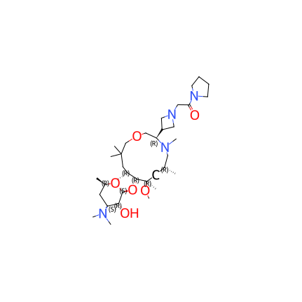 CO[C@]1(C)C[C@@H](C)CN(C)[C@H](C2CN(CC(=O)N3CCCC3)C2)COCC(C)(C)C[C@@H](C)[C@H]1O[C@@H]1O[C@H](C)C[C@H](N(C)C)[C@H]1O